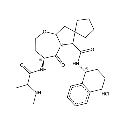 CNC(C)C(=O)N[C@H]1CCOC2CC3(CCCC3)C(C(=O)N[C@@H]3CCCc4ccccc43)N2C1=O.Cl